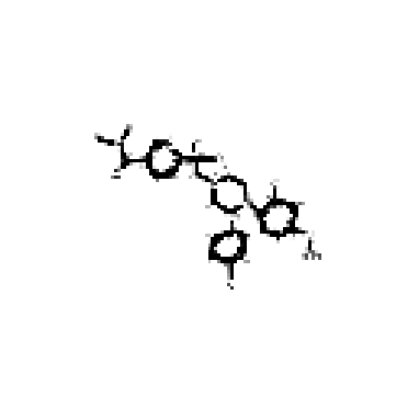 CCCOc1ccc(N2CCN(C[C@@](C)(O)c3ccc(C(=O)N(C)C)cn3)C[C@H]2c2ccc(Cl)cc2)c(Cl)c1